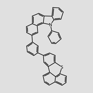 c1ccc(-n2c3ccccc3c3ccc4ccc(-c5cccc(-c6ccc7c(c6)-c6cccc8cccc(c68)S7)c5)cc4c32)cc1